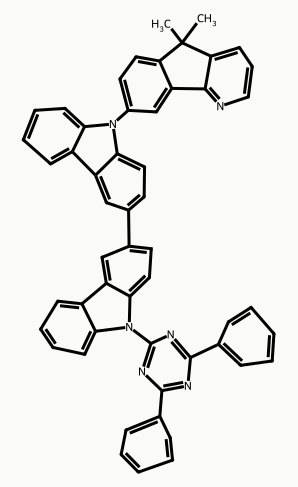 CC1(C)c2ccc(-n3c4ccccc4c4cc(-c5ccc6c(c5)c5ccccc5n6-c5nc(-c6ccccc6)nc(-c6ccccc6)n5)ccc43)cc2-c2ncccc21